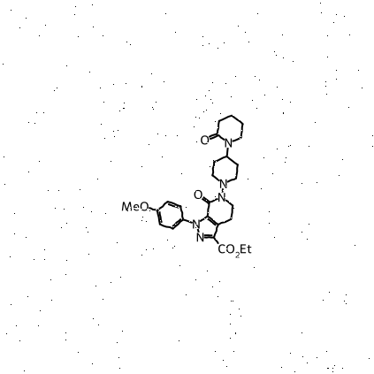 CCOC(=O)c1nn(-c2ccc(OC)cc2)c2c1CCN(N1CCC(N3CCCCC3=O)CC1)C2=O